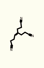 N#CCCC=C(CCC#N)CCC#N